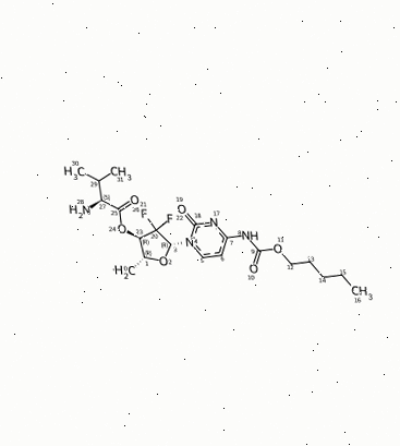 [CH2][C@H]1O[C@@H](n2ccc(NC(=O)OCCCCC)nc2=O)C(F)(F)[C@@H]1OC(=O)[C@@H](N)C(C)C